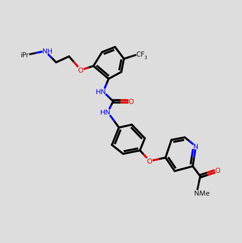 CNC(=O)c1cc(Oc2ccc(NC(=O)Nc3cc(C(F)(F)F)ccc3OCCNC(C)C)cc2)ccn1